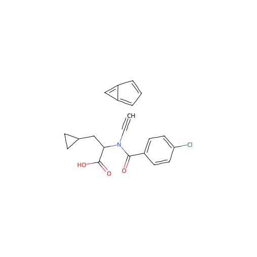 C#CN(C(=O)c1ccc(Cl)cc1)C(CC1CC1)C(=O)O.c1cc2cc-2c1